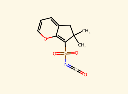 CC1(C)CC2=CC=COC2=C1S(=O)(=O)N=C=O